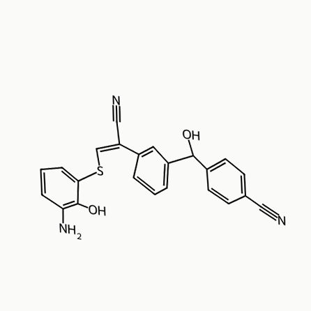 N#C/C(=C/Sc1cccc(N)c1O)c1cccc(C(O)c2ccc(C#N)cc2)c1